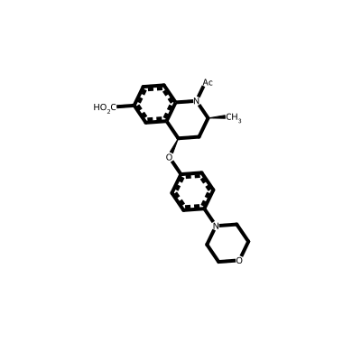 CC(=O)N1c2ccc(C(=O)O)cc2[C@H](Oc2ccc(N3CCOCC3)cc2)C[C@@H]1C